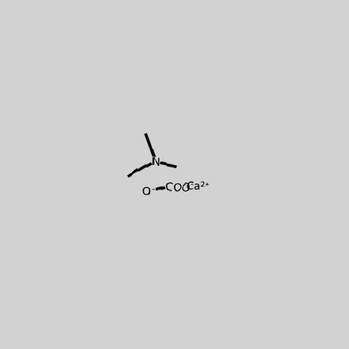 CN(C)C.O=C([O-])[O-].[Ca+2]